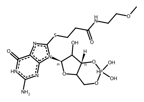 COCCNC(=O)CCSc1nc2c(=O)[nH]c(N)nc2n1[C@@H]1OC2CO[PH](O)(O)O[C@H]2C1O